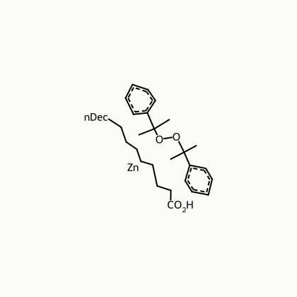 CC(C)(OOC(C)(C)c1ccccc1)c1ccccc1.CCCCCCCCCCCCCCCCCC(=O)O.[Zn]